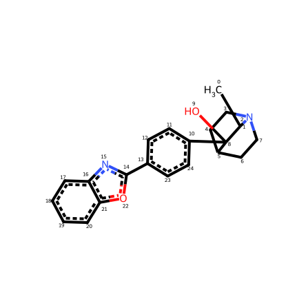 CC1N2CCC(CC2)C1(O)c1ccc(-c2nc3ccccc3o2)cc1